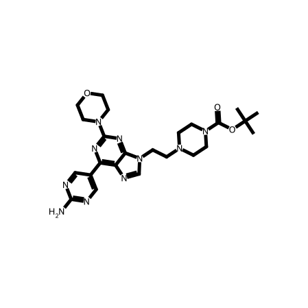 CC(C)(C)OC(=O)N1CCN(CCn2cnc3c(-c4cnc(N)nc4)nc(N4CCOCC4)nc32)CC1